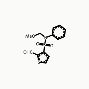 COCN(c1ccccc1)S(=O)(=O)c1ccsc1C=O